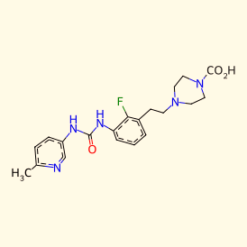 Cc1ccc(NC(=O)Nc2cccc(CCN3CCN(C(=O)O)CC3)c2F)cn1